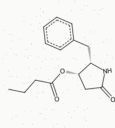 CCCC(=O)O[C@H]1CC(=O)N[C@H]1Cc1ccccc1